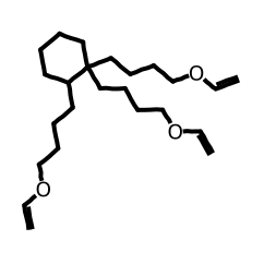 C=COCCCCC1CCCCC1(CCCCOC=C)CCCCOC=C